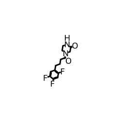 O=C1CN(C(=O)CCCc2cc(F)c(F)cc2F)CCN1